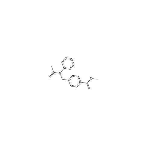 C=C(OC)c1ccc(CN(C(=C)C)c2ccccc2)cc1